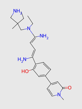 CCN(CC(C)(CC)CN)/C(N)=C/C=C(\N)c1ccc(-c2ccn(C)c(=O)c2)cc1O